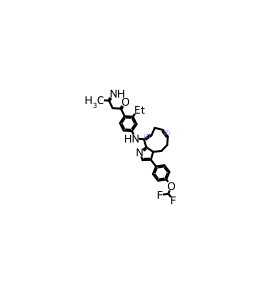 CCc1cc(N/C2=C\C/C=C\CCC3C(c4ccc(OC(F)F)cc4)=CN=C23)ccc1C(=O)CC(C)=N